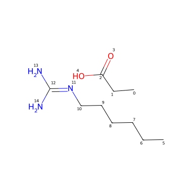 CCC(=O)O.CCCCCCN=C(N)N